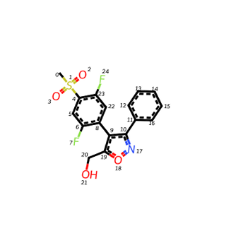 CS(=O)(=O)c1cc(F)c(-c2c(-c3ccccc3)noc2CO)cc1F